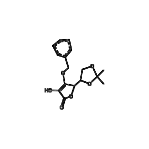 CC1(C)OCC(C2OC(=O)C(O)=C2OCc2ccccc2)O1